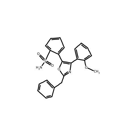 COc1ccccc1-c1nc(Cc2ccccc2)oc1-c1ccccc1S(N)(=O)=O